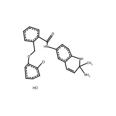 CC1(N)C=Cc2cc(NC(=O)c3ccccc3COc3ccccc3Cl)ccc2N1.Cl